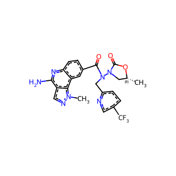 C[C@@H]1CN(N(Cc2ccc(C(F)(F)F)cn2)C(=O)c2ccc3nc(N)c4cnn(C)c4c3c2)C(=O)O1